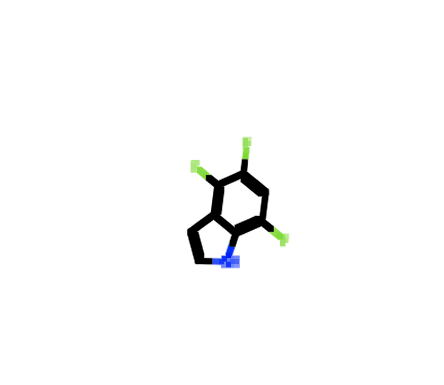 Fc1cc(F)c2[nH]ccc2c1F